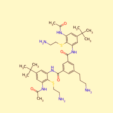 CC(=O)Nc1cc(C(C)(C)C)cc(NC(=O)c2cc(CCCN)cc(C(=O)Nc3cc(C(C)(C)C)cc(NC(C)=O)c3SCCN)c2)c1SCCN